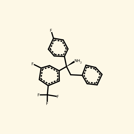 N[C@](Cc1ccccc1)(c1ccc(F)cc1)c1cc(F)cc(C(F)(F)F)c1